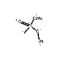 COP(C)(=O)OC(C)C